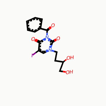 O=C(c1ccccc1)n1c(=O)c(I)cn(CCC(O)CO)c1=O